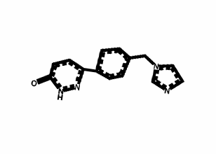 O=c1ccc(-c2ccc(Cn3ccnc3)cc2)n[nH]1